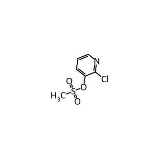 CS(=O)(=O)Oc1cccnc1Cl